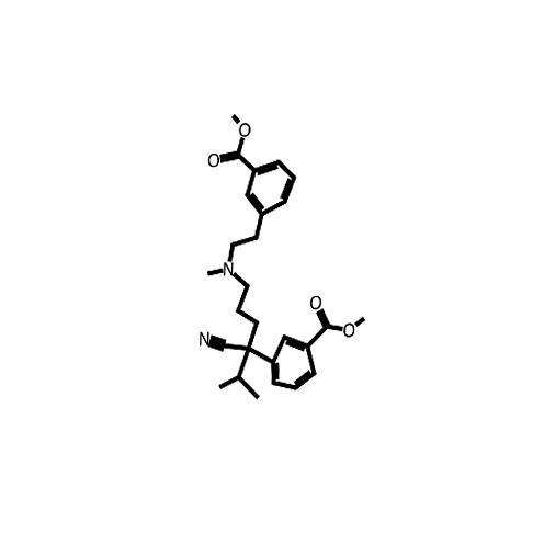 COC(=O)c1cccc(CCN(C)CCCC(C#N)(c2cccc(C(=O)OC)c2)C(C)C)c1